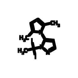 Cc1ccc(C)n1-c1ccnn1C(C)(I)I